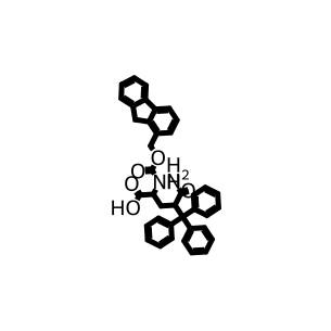 NC(=O)C(CC(NC(=O)OCc1cccc2c1Cc1ccccc1-2)C(=O)O)C(c1ccccc1)(c1ccccc1)c1ccccc1